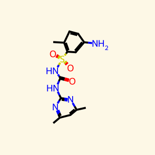 Cc1cc(C)nc(NC(=O)NS(=O)(=O)c2cc(N)ccc2C)n1